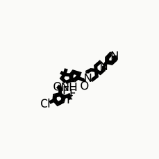 CC1(C)CC(NC(=O)c2cc(Cl)ccc2C(F)(F)F)c2cc(C(=O)N3CCC4(CC3)CCN(c3ccncc3)CC4)ccc21